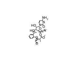 COC(=O)C(C)N(Oc1ccccc1OC[C@@]1(N=[N+]=[N-])O[C@@H](n2ccc(N)nc2=O)[C@H](O)[C@@H]1O)P=O